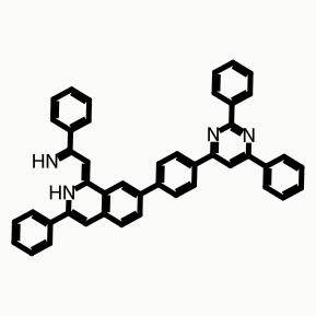 N=C(/C=C1\NC(c2ccccc2)=Cc2ccc(-c3ccc(-c4cc(-c5ccccc5)nc(-c5ccccc5)n4)cc3)cc21)c1ccccc1